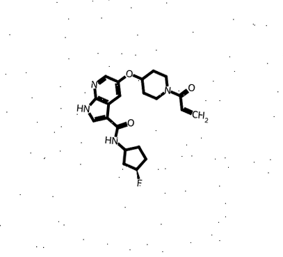 C=CC(=O)N1CCC(Oc2cnc3[nH]cc(C(=O)NC4CC[C@@H](F)C4)c3c2)CC1